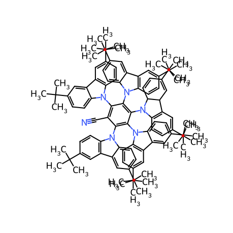 CC(C)(C)C1=CC2c3cc(C(C)(C)C)ccc3N(c3c(-n4c5ccc(C(C)(C)C)cc5c5cc(C(C)(C)C)ccc54)c(-n4c5ccc(C(C)(C)C)cc5c5cc(C(C)(C)C)ccc54)c(C#N)c(-n4c5ccc(C(C)(C)C)cc5c5cc(C(C)(C)C)ccc54)c3-n3c4ccc(C(C)(C)C)cc4c4cc(C(C)(C)C)ccc43)C2C=C1